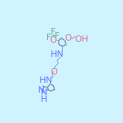 OCCOc1cc(CNCCCCOCCNc2cccc3[nH]ncc23)cc(OC(F)(F)F)c1